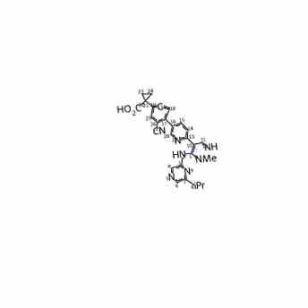 CN/C(Nc1cncc(C(C)C)n1)=C(\C=N)c1ccc(-c2ccc(C3(C(=O)O)CC3)cc2C#N)cn1